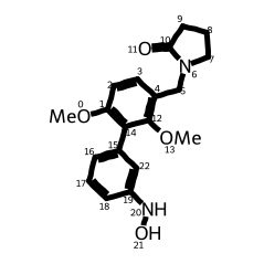 COc1ccc(CN2CCCC2=O)c(OC)c1-c1cccc(NO)c1